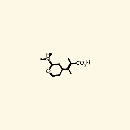 CC(C(=O)O)=C(C)C1CCOC([SiH](C)C)C1